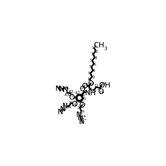 CCCCCCCCCCCCOC(=O)[C@@H](CCC(=O)O)NC(=O)c1cc(OCCN=[N+]=[N-])c(OCCN=[N+]=[N-])c(OCCN=[N+]=[N-])c1